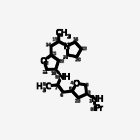 CC(C)N[C@@H]1COC(CC(C)N[C@H]2COC(CC(C)N3CCCC3)C2)C1